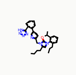 CCCCc1cn(-c2c(CCC)cccc2C(C)C)c(=O)n1Cc1ccc(-c2ccccc2-c2nnn[nH]2)cn1